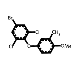 COc1ccc(Oc2c(Cl)cc(Br)cc2Cl)cc1C